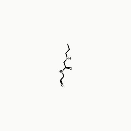 CCCNCC(=O)NCC=O